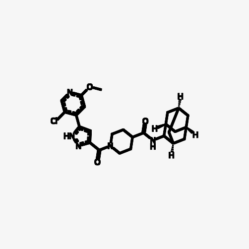 COc1cc(-c2cc(C(=O)N3CCC(C(=O)NC4[C@H]5C[C@@H]6C[C@@H](C[C@H]4C6)C5)CC3)n[nH]2)c(Cl)cn1